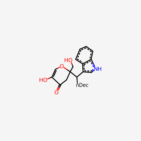 CCCCCCCCCCC(c1c[nH]c2ccccc12)C1(CO)CC(=O)C(O)=CO1